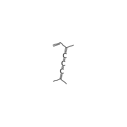 C=CC(C)=C=C=C=C(C)C